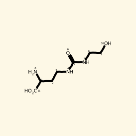 NC(CCNC(=O)NCCO)C(=O)O